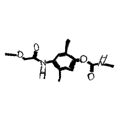 CNC(=O)Oc1cc(C)c(NC(=O)COC)cc1C